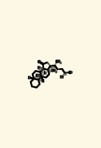 CC[C@H](CC[C@@H](C)[C@H]1CC(=O)[C@@H]2[C@@H]3CC[C@H]4CCCC[C@]4(C)[C@H]3CC[C@]12C)C(C)C